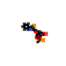 CPOCC(CO)(CO)COPNCc1ccccc1